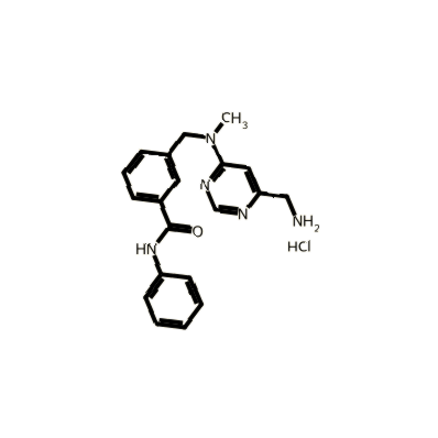 CN(Cc1cccc(C(=O)Nc2ccccc2)c1)c1cc(CN)ncn1.Cl